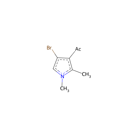 CC(=O)c1c(Br)cn(C)c1C